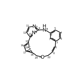 C1=C\c2cccc(c2)Nc2nccc(n2)-c2ccc(s2)COC/1